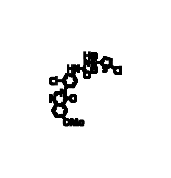 COc1ccc2ncn(-c3ccc(NC(=O)NS(=O)(=O)c4ccc(Cl)s4)cc3Cl)c(=O)c2c1